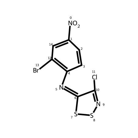 O=[N+]([O-])c1ccc(N=c2ssnc2Cl)c(Br)c1